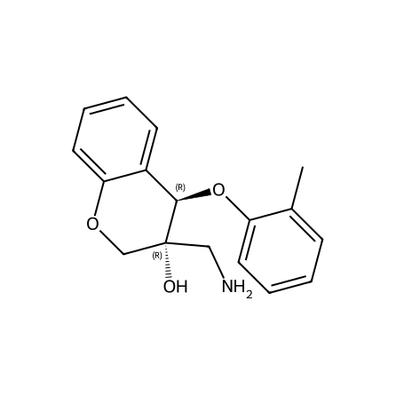 Cc1ccccc1O[C@@H]1c2ccccc2OC[C@]1(O)CN